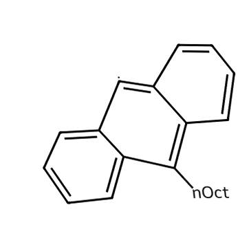 [CH2]CCCCCCCc1c2ccccc2[c]c2ccccc12